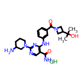 CC(C)(O)C1CN(C(=O)c2cccc(Nc3nc(N4CCCC(N)C4)ncc3C(N)=O)c2)C1.Cl